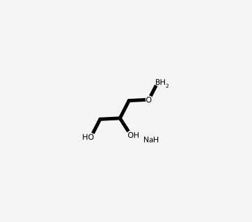 BOCC(O)CO.[NaH]